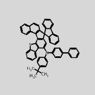 CC(C)(C)c1ccc(N(c2ccc(-c3ccccc3)cc2)c2cc3c(c4sc5ccccc5c24)-c2c(ccc4ccccc24)C32c3ccccc3-c3ccccc32)cc1